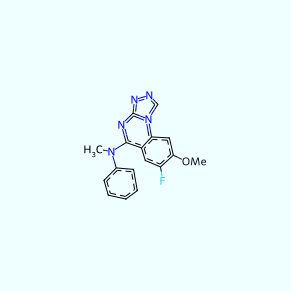 COc1cc2c(cc1F)c(N(C)c1ccccc1)nc1nncn12